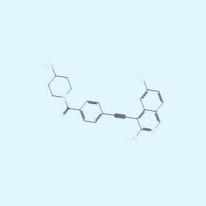 Nc1ncc2ccc(Cl)cc2c1C#Cc1ccc(C(=O)N2CCC(N)CC2)cc1